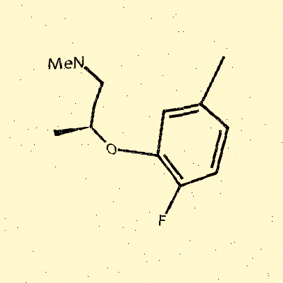 CNC[C@H](C)Oc1cc(C)ccc1F